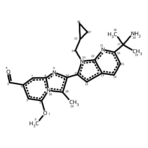 COc1cc(C=O)cc2nc(-c3cc4ccc(C(C)(C)N)nc4n3CC3CC3)c(C)n12